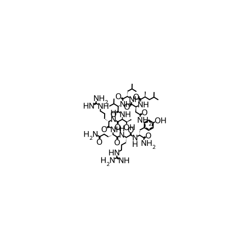 CC(C)C[C@H](NC(=O)[C@H](CC(N)=O)NC(=O)[C@@H](C)CC(C)C)C(=O)N[C@H](C(=O)N[C@H](C(=O)N[C@@H](CCCNC(=N)N)C(=O)N[C@@H](CCC(N)=O)C(=O)N[C@@H](CCCNC(=N)N)C(=O)N[C@H](Cc1ccc(O)cc1)C(N)=O)[C@@H](C)O)C(C)C